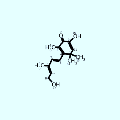 CC(C=CC1=C(C)C(=O)C(O)=CC1(C)C)=CCO